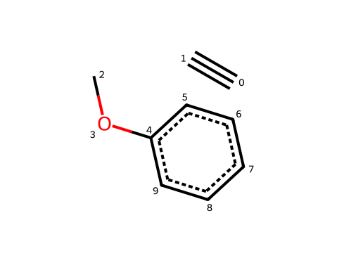 C#C.COc1ccccc1